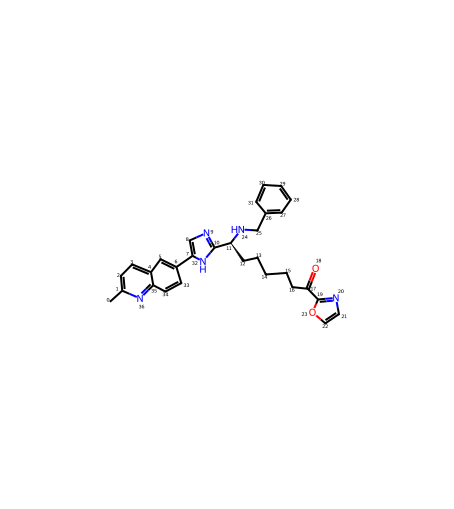 Cc1ccc2cc(-c3cnc([C@H](CCCCCC(=O)c4ncco4)NCc4ccccc4)[nH]3)ccc2n1